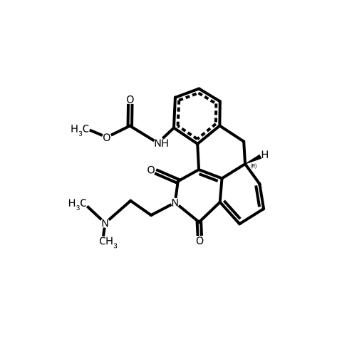 COC(=O)Nc1cccc2c1C1=C3C(=CC=C[C@H]3C2)C(=O)N(CCN(C)C)C1=O